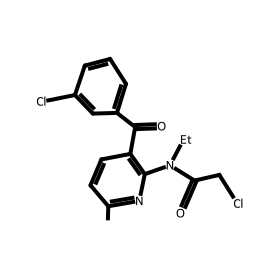 CCN(C(=O)CCl)c1nc(C)ccc1C(=O)c1cccc(Cl)c1